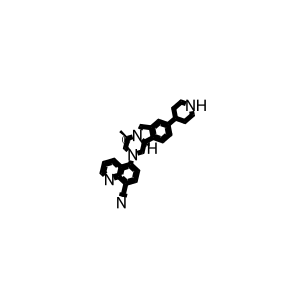 C[C@@H]1CN(c2ccc(C#N)c3ncccc23)C[C@@H]2c3ccc(C4CCNCC4)cc3CN12